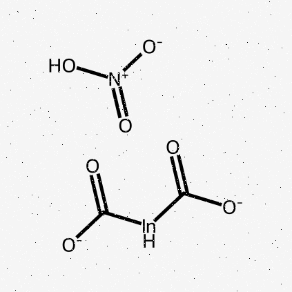 O=[C]([O-])[InH][C](=O)[O-].O=[N+]([O-])O